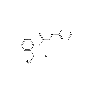 CC(C#N)c1ccccc1OC(=O)C=Cc1ccccc1